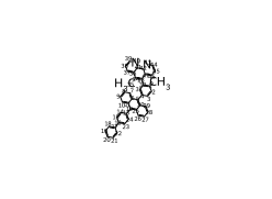 Cc1ccc(-c2c3ccccc3c(-c3ccc(-c4ccccc4)cc3)c3ccccc23)cc1-c1c(C)c2cccnc2c2ncccc12